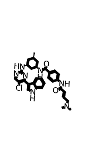 C[C@H]1C[C@@H](NC(=O)c2ccc(NC(=O)/C=C/CN(C)C)cc2)C[C@@H](Nc2ncc(Cl)c(-c3c[nH]c4ccccc34)n2)C1